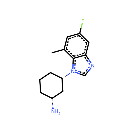 Cc1cc(F)cc2ncn([C@H]3CCC[C@@H](N)C3)c12